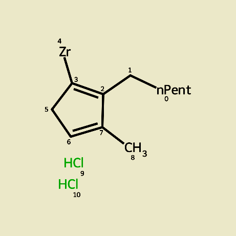 CCCCCCC1=[C]([Zr])CC=C1C.Cl.Cl